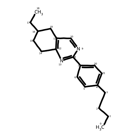 CCCCc1ccc(-c2ncc3c(n2)CCC(CC)C3)cc1